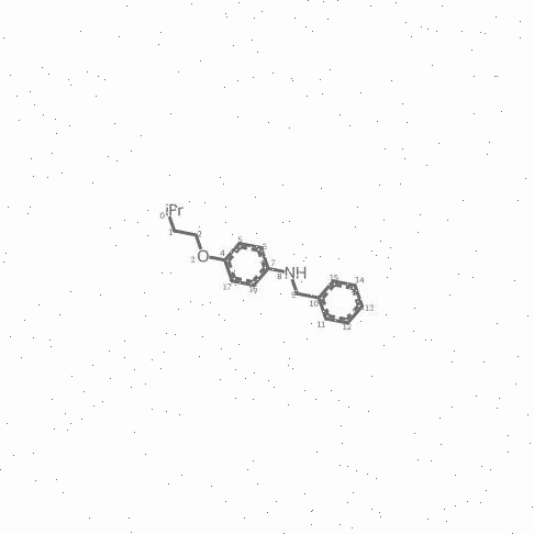 CC(C)CCOc1ccc(NCc2ccccc2)cc1